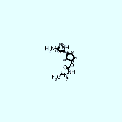 CN(CC(F)(F)F)NC(=O)O[C@@H]1CC[C@H](c2cc(N)n[nH]2)C1